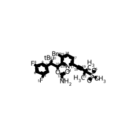 CC(C)(C)C(c1cc(F)cc(F)c1)C(OC(N)=O)c1nc(C#CC(C)(C)S(C)(=O)=O)ccc1Br